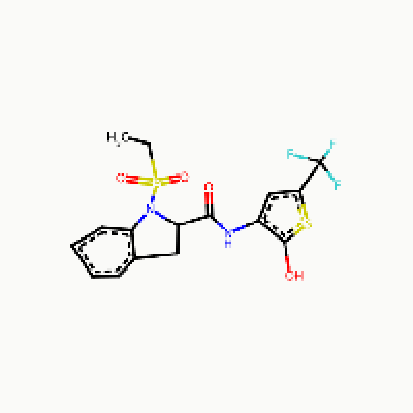 CCS(=O)(=O)N1c2ccccc2CC1C(=O)Nc1cc(C(F)(F)F)sc1O